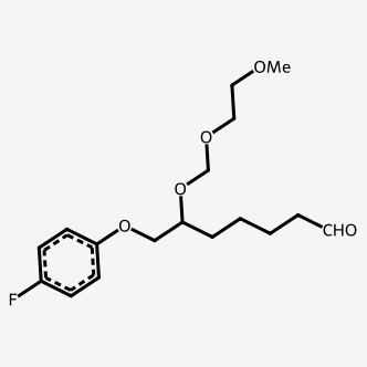 COCCOCOC(CCCCC=O)COc1ccc(F)cc1